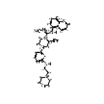 CC(C)C1CN(c2ccnc(NCCN3CCOCC3)n2)CCN1/C(=N\C#N)Nc1cccc2ncccc12